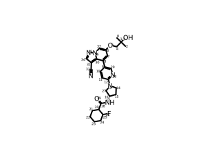 CC(C)(O)COc1cc(-c2ccc(N3CC[C@H](NC(=O)C4CCCCC4F)C3)nc2)c2c(C#N)cnn2c1